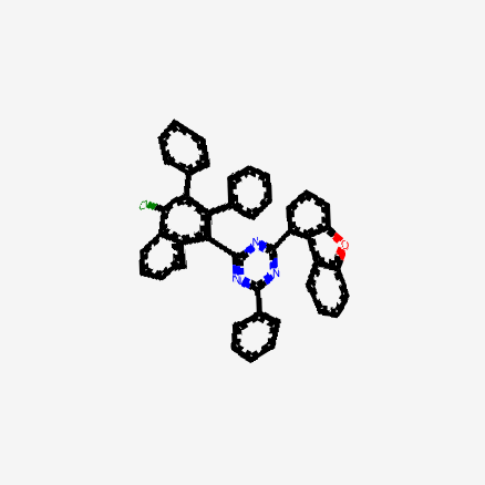 Clc1c(-c2ccccc2)c(-c2ccccc2)c(-c2nc(-c3ccccc3)nc(-c3cccc4oc5ccccc5c34)n2)c2ccccc12